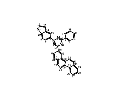 c1ccc(-c2nc(-c3ccc4sccc4c3)nc(-c3ccc4ccc5c6ccccc6ccc5c4c3)n2)cc1